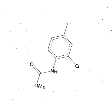 [CH2]OC(=O)Nc1ccc(C)cc1Cl